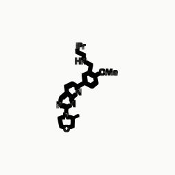 COc1ccc(-c2ccc3cnc(N4CCOC[C@@H]4C)nc3n2)cc1CNCCC(C)C